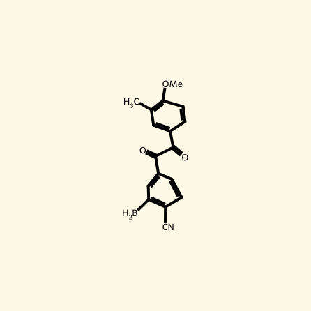 Bc1cc(C(=O)C(=O)c2ccc(OC)c(C)c2)ccc1C#N